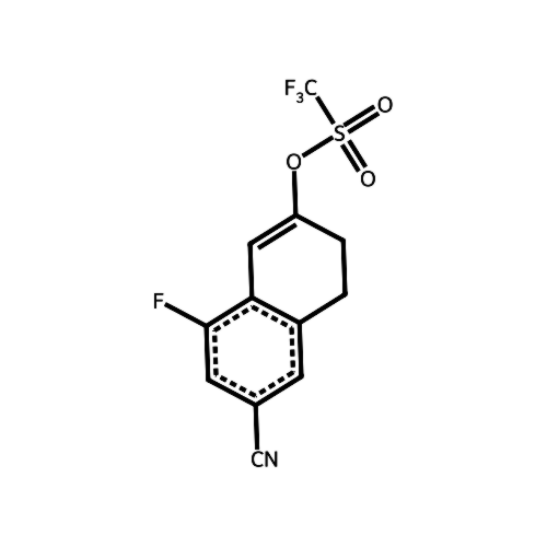 N#Cc1cc(F)c2c(c1)CCC(OS(=O)(=O)C(F)(F)F)=C2